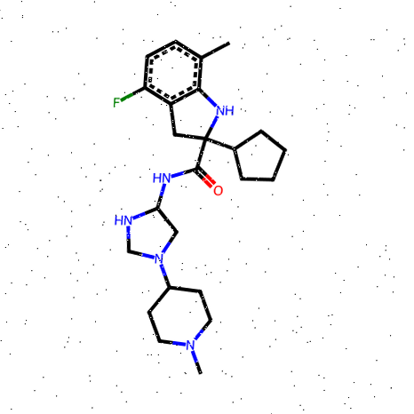 Cc1ccc(F)c2c1NC(C(=O)NC1CN(C3CCN(C)CC3)CN1)(C1CCCC1)C2